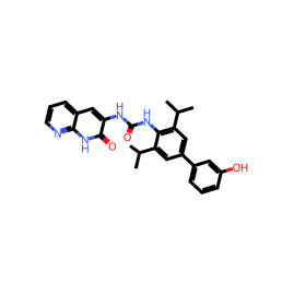 CC(C)c1cc(-c2cccc(O)c2)cc(C(C)C)c1NC(=O)Nc1cc2cccnc2[nH]c1=O